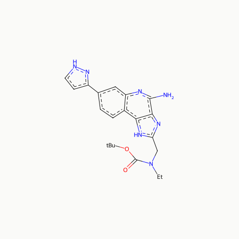 CCN(Cc1nc2c(N)nc3cc(-c4cc[nH]n4)ccc3c2[nH]1)C(=O)OC(C)(C)C